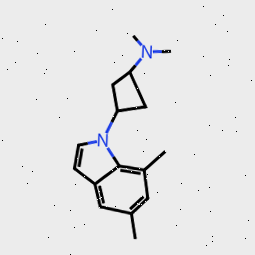 Cc1cc(C)c2c(ccn2C2CC(N(C)C)C2)c1